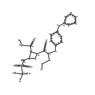 CCCN(Cc1ccc(Oc2ccccc2)cc1)C(=O)C1CC(NS(=O)(=O)C(F)(F)F)C1C(=O)OC